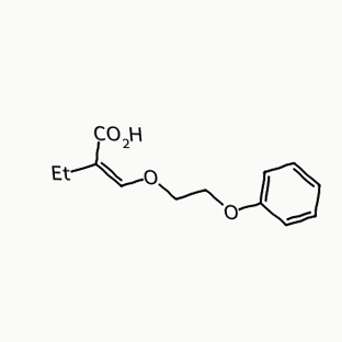 CCC(=COCCOc1ccccc1)C(=O)O